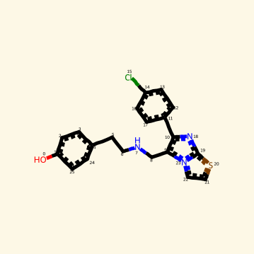 Oc1ccc(CCNCc2c(-c3ccc(Cl)cc3)nc3sccn23)cc1